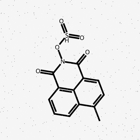 Cc1ccc2c3c(cccc13)C(=O)N(O[SH](=O)=O)C2=O